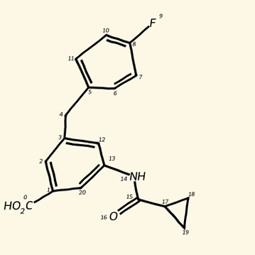 O=C(O)c1cc(Cc2ccc(F)cc2)cc(NC(=O)C2CC2)c1